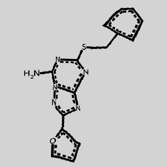 Nc1nc(SCc2ccccc2)nc2nc(-c3ccco3)nn12